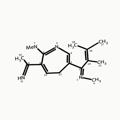 C/N=C(/C1=CN=C(NC)C(C(C)=N)=CC1)C(C)=C(C)C